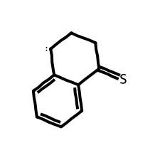 S=C1CC[C]c2ccccc21